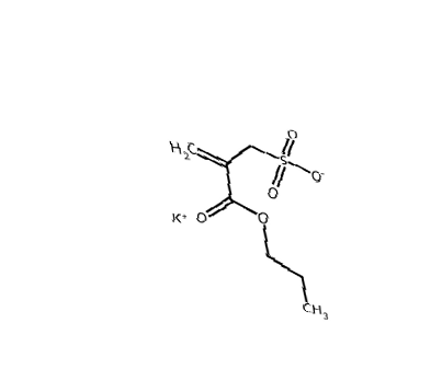 C=C(CS(=O)(=O)[O-])C(=O)OCCC.[K+]